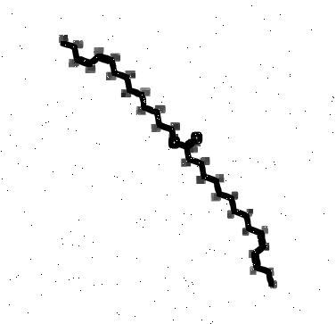 CC/C=C\C=C/CCCCCCCCCC(=O)OCCCCCCCC/C=C\C=C/CC